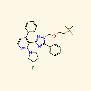 CS(C)(C)CCOCn1nc(-c2c(-c3ccccc3)ccnc2N2CC[C@H](F)C2)nc1-c1ccccc1